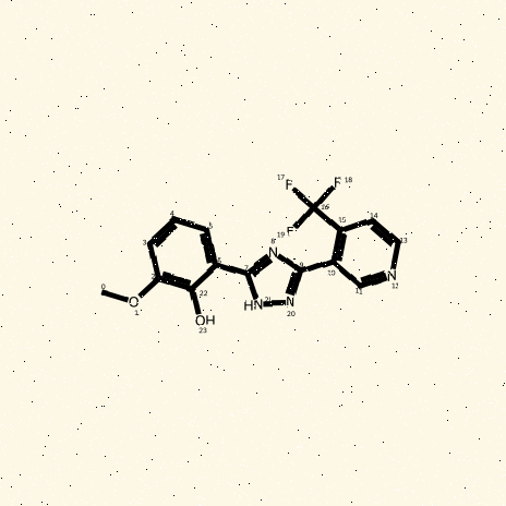 COc1cccc(-c2nc(-c3cnccc3C(F)(F)F)n[nH]2)c1O